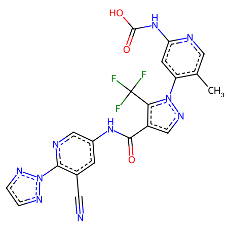 Cc1cnc(NC(=O)O)cc1-n1ncc(C(=O)Nc2cnc(-n3nccn3)c(C#N)c2)c1C(F)(F)F